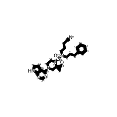 N#CCCCN(CCCc1ccccc1)S(=O)(=O)N1CCN(c2ncnc3[nH]ccc23)CC12CC2